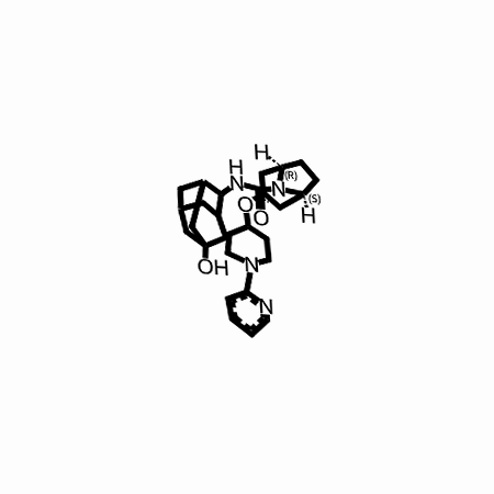 O=C(NC1C2CC3CC1CC(O)(C3)C2)N1[C@@H]2CC[C@H]1C[C@@H](OC1CCN(c3ccccn3)CC1)C2